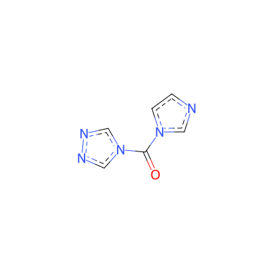 O=C(n1ccnc1)n1cnnc1